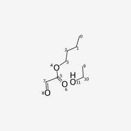 CCCCOC(=O)C=O.CCO